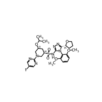 COc1cccc(OC)c1-n1c(NS(=O)(=O)[C@@H]2C[C@H](OC(C)C)CN(c3ncc(F)cn3)C2)nnc1[C@H]1CCCO1